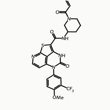 C=CC(=O)N1CCCC(NC(=O)c2sc3nccc4c3c2NC(=O)N4c2ccc(OC)c(C(F)(F)F)c2)C1